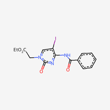 CCOC(=O)Cn1cc(I)c(NC(=O)c2ccccc2)nc1=O